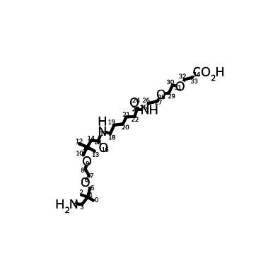 CC(C)(CN)COCCOCC(C)(C)CC(=O)NCCCCCC(=O)NCCOCCOCCC(=O)O